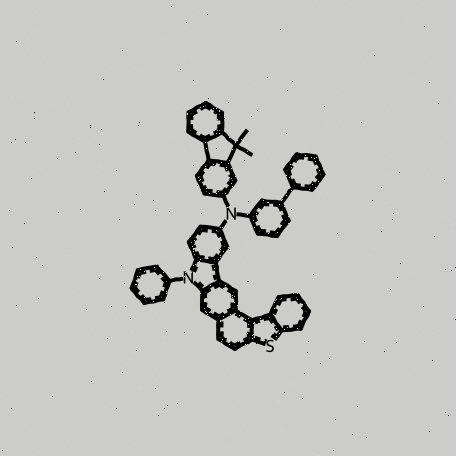 CC1(C)c2ccccc2-c2ccc(N(c3cccc(-c4ccccc4)c3)c3ccc4c(c3)c3cc5c(ccc6sc7ccccc7c65)cc3n4-c3ccccc3)cc21